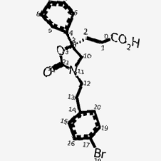 O=C(O)CC[C@]1(c2ccccc2)CN(CCc2ccc(Br)cc2)C(=O)O1